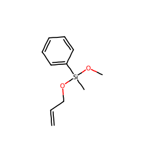 C=CCO[Si](C)(OC)c1ccccc1